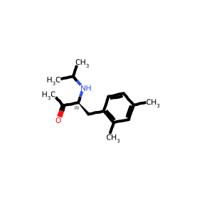 CC(=O)[C@H](Cc1ccc(C)cc1C)NC(C)C